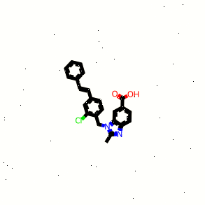 Cc1nc2ccc(C(=O)O)cc2n1Cc1ccc(/C=C/c2ccccc2)cc1Cl